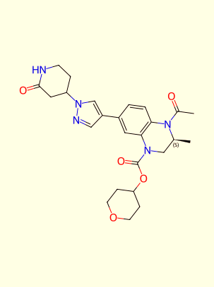 CC(=O)N1c2ccc(-c3cnn(C4CCNC(=O)C4)c3)cc2N(C(=O)OC2CCOCC2)C[C@@H]1C